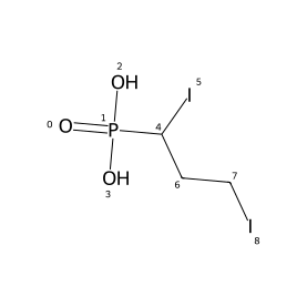 O=P(O)(O)C(I)CCI